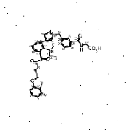 Cc1cccc(OCCCC(=O)N2C[C@H](C)[C@H](C)c3c(-c4cnn(Cc5cccc(C(=O)NCS(=O)(=O)O)c5)c4)cccc32)c1C